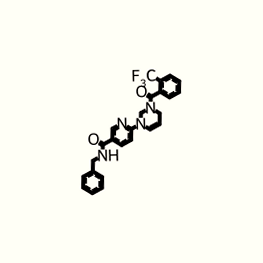 O=C(NCc1ccccc1)c1ccc(N2C=CCN(C(=O)c3ccccc3C(F)(F)F)C2)nc1